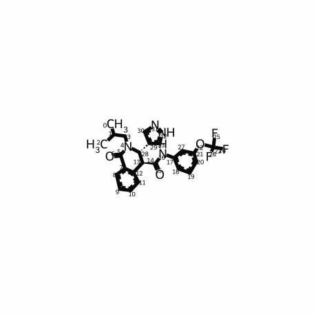 CC(C)CN1C(=O)c2ccccc2[C@H](C(=O)Nc2cccc(OC(F)(F)F)c2)[C@H]1c1cn[nH]c1